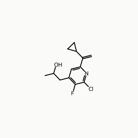 C=C(c1cc(CC(C)O)c(F)c(Cl)n1)C1CC1